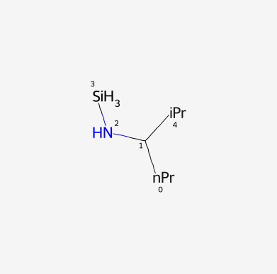 CCCC(N[SiH3])C(C)C